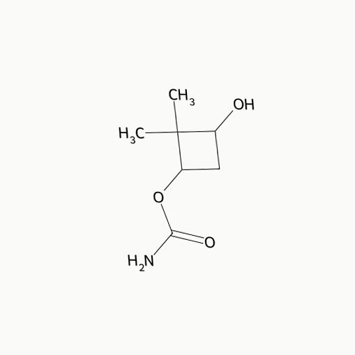 CC1(C)C(O)CC1OC(N)=O